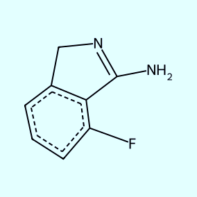 NC1=NCc2cccc(F)c21